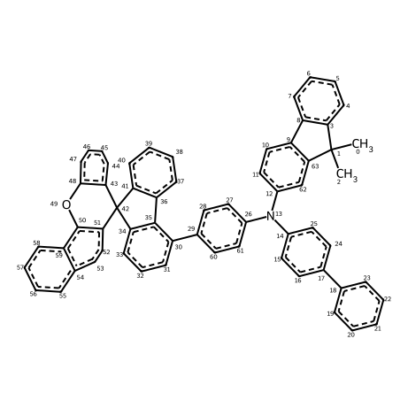 CC1(C)c2ccccc2-c2ccc(N(c3ccc(-c4ccccc4)cc3)c3ccc(-c4cccc5c4-c4ccccc4C54c5ccccc5Oc5c4ccc4ccccc54)cc3)cc21